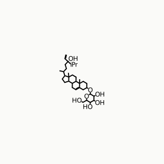 C=CC(O)(CCC(C)C1CCC2C3CC=C4CC(OC5OC(CO)C(O)C(O)C5O)CCC4(C)C3CCC12C)C(C)C